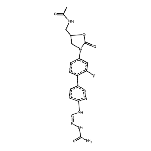 CC(=O)NCC1CN(c2ccc(-c3ccc(N/C=N\NC(N)=O)nc3)c(F)c2)C(=O)O1